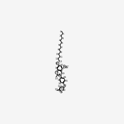 CCCCCCCCCCCCCCOc1ccc(CN(C(C)=O)c2ccc(C[n+]3csc(C)c3)cc2)cc1.[Br-]